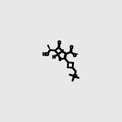 C[C@@H](O)[C@H]1C(=O)N2C(C(=O)[O-])=C(C3CC(C[N+](C)(C)C)C3)S[C@H]12